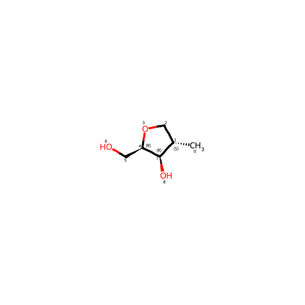 C[C@H]1CO[C@H](CO)[C@@H]1O